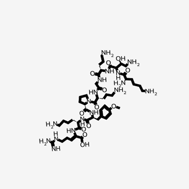 COc1ccc(C[C@H](NC(=O)[C@@H]2CCCN2C(=O)[C@@H](CCCN)NC(=O)CNC(=O)[C@H](CCCN)NC(=O)C(NC(=O)[C@@H](N)CCCCN)[C@@H](O)CN)C(=O)N[C@@H](CCCCN)C(=O)N/C(=C\CCNC(=N)N)C(=O)O)cc1